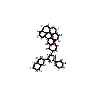 c1ccc(-c2nc(-c3ccc(-c4ccc5ccc6ccc7cccc(-c8ccccc8)c7c6c5c4)cc3)nc(-c3ccc4ccccc4c3)n2)cc1